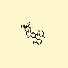 C[C@@H]1CC[C@@H](C)N(c2cc3c(cc2-c2ccccc2F)OCC2=NNC(=O)[C@@H](C)N23)C1